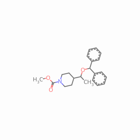 COC(=O)N1CCC(C(C)OC(c2ccccc2)c2ccccc2)CC1